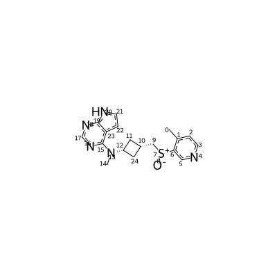 Cc1ccncc1[S+]([O-])C[C@H]1C[C@@H](N(C)c2ncnc3[nH]ccc23)C1